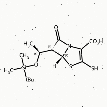 C[C@H](O[Si](C)(C)C(C)(C)C)[C@@H]1C(=O)N2C(C(=O)O)=C(S)S[C@H]12